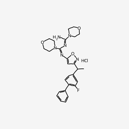 CC(c1ccc(-c2ccccc2)c(F)c1)c1cc(/N=C(\N=C(/N)N2CCOCC2)N2CCOCC2)on1.Cl